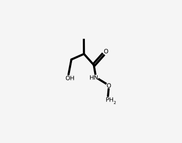 CC(CO)C(=O)NOP